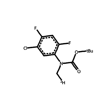 [2H]CN(C(=O)OC(C)(C)C)c1cc(Cl)c(F)cc1F